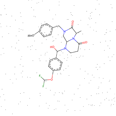 COc1ccc(CN2CC3N(C(O)c4ccc(OC(F)F)cc4)CCC(=O)N3C(C)C2=O)cc1